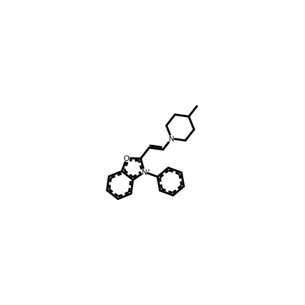 CC1CCN(C=Cc2oc3ccccc3[n+]2-c2ccccc2)CC1